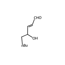 CCCCCC(O)C=CC=O